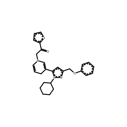 O=C(CN1C=CCC(c2cc(COc3ccccc3)nn2C2CCCCC2)=C1)c1cccs1